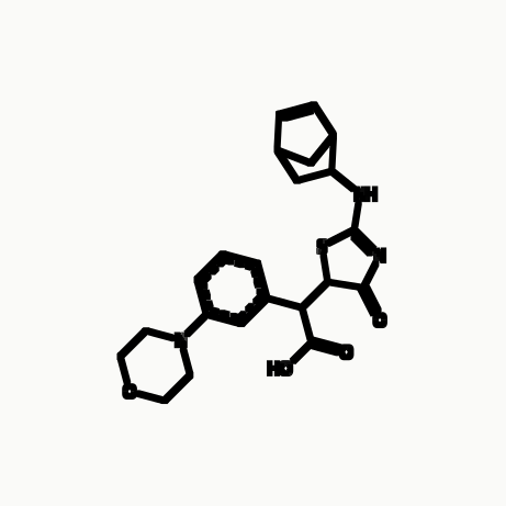 O=C1N=C(NC2CC3C=CC2C3)SC1C(C(=O)O)c1cccc(N2CCOCC2)c1